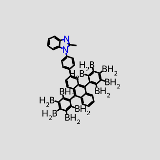 Bc1c(B)c(B)c(-c2c3ccccc3c(-c3c(B)c(B)c(B)c(B)c3B)c3cc(-c4ccc(-n5c(C)nc6ccccc65)cc4)ccc23)c(B)c1B